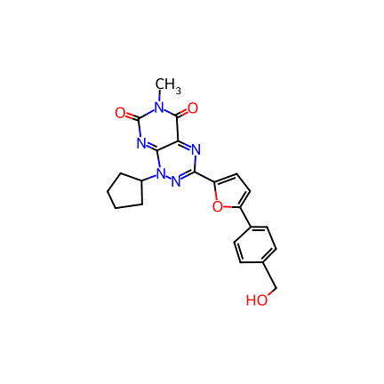 Cn1c(=O)nc2n(C3CCCC3)nc(-c3ccc(-c4ccc(CO)cc4)o3)nc-2c1=O